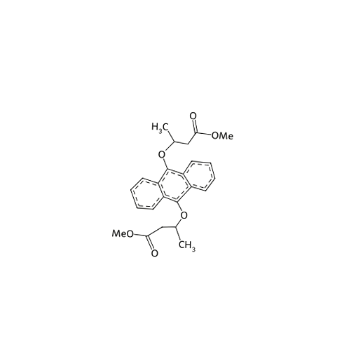 COC(=O)CC(C)Oc1c2ccccc2c(OC(C)CC(=O)OC)c2ccccc12